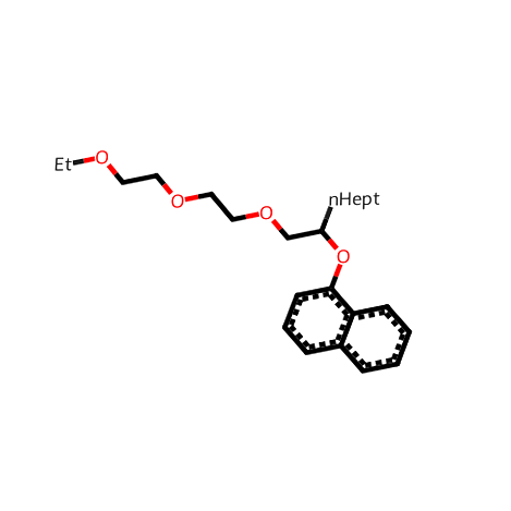 CCCCCCCC(COCCOCCOCC)Oc1cccc2ccccc12